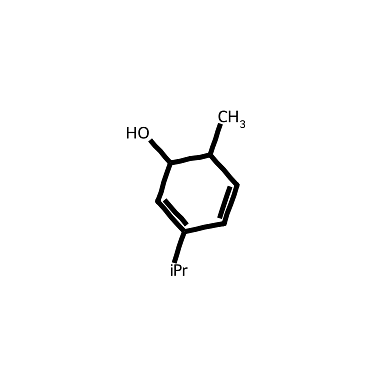 CC1C=CC(C(C)C)=C[C]1O